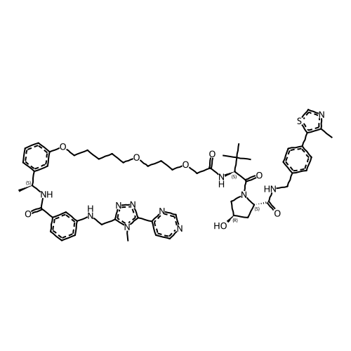 Cc1ncsc1-c1ccc(CNC(=O)[C@@H]2C[C@@H](O)CN2C(=O)[C@@H](NC(=O)COCCCOCCCCCOc2cccc([C@H](C)NC(=O)c3cccc(NCc4nnc(-c5ccncn5)n4C)c3)c2)C(C)(C)C)cc1